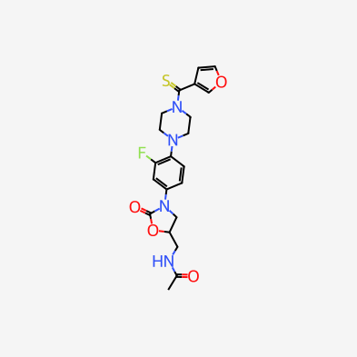 CC(=O)NCC1CN(c2ccc(N3CCN(C(=S)c4ccoc4)CC3)c(F)c2)C(=O)O1